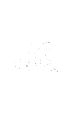 CCn1nc(C)cc1C(=O)Nc1nc2cc(C#N)ccc2n1C(Br)c1c(F)cc(Br)cc1F